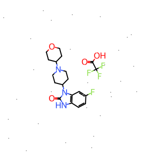 O=C(O)C(F)(F)F.O=c1[nH]c2ccc(F)cc2n1C1CCN(C2CCOCC2)CC1